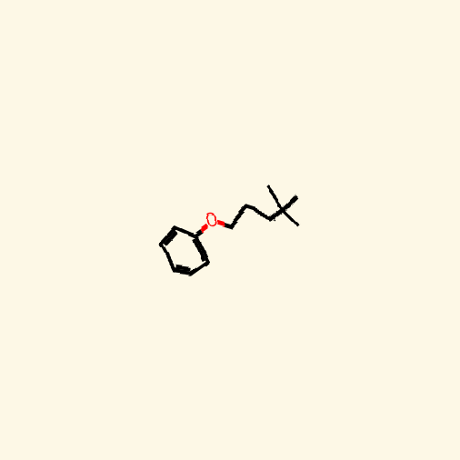 CC(C)(C)[CH]CCOc1ccccc1